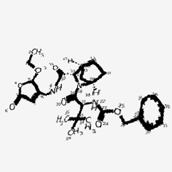 CCO[C@@H]1OC(=O)CC1NC(=O)[C@@H]1[C@H]2CC[C@H](C2)N1C(=O)[C@@H](NC(=O)OCc1ccccc1)C(C)(C)C